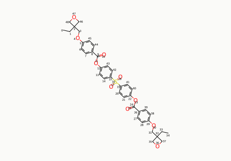 CCC1(COc2ccc(C(=O)Oc3ccc(S(=O)(=O)c4ccc(OC(=O)c5ccc(OCC6(CC)COC6)cc5)cc4)cc3)cc2)COC1